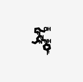 CCc1cc(N2CCCC2CO)nc(Nc2ccc(F)cc2)n1